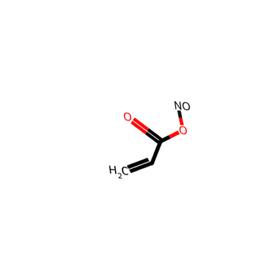 C=CC(=O)ON=O